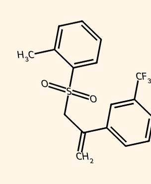 C=C(CS(=O)(=O)c1ccccc1C)c1cccc(C(F)(F)F)c1